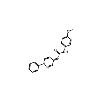 COc1ccc(NC(=O)N=c2ccn(-c3ccccc3)nc2)cc1